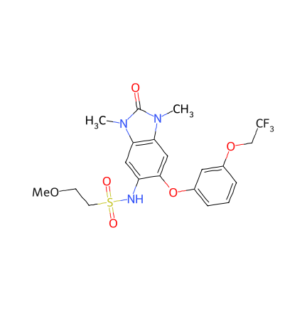 COCCS(=O)(=O)Nc1cc2c(cc1Oc1cccc(OCC(F)(F)F)c1)n(C)c(=O)n2C